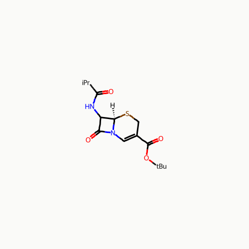 CC(C)C(=O)NC1C(=O)N2C=C(C(=O)OC(C)(C)C)CS[C@H]12